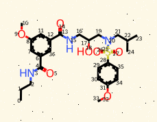 CCCNC(=O)c1cc(OC)cc(C(=O)NC[C@H](O)CN(CC(C)C)S(=O)(=O)c2ccc(OC)cc2)c1